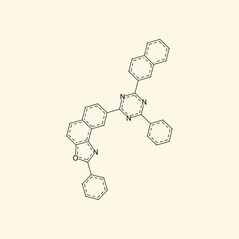 c1ccc(-c2nc(-c3ccc4ccccc4c3)nc(-c3ccc4ccc5oc(-c6ccccc6)nc5c4c3)n2)cc1